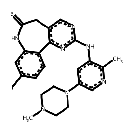 Cc1ncc(N2CCN(C)CC2)cc1Nc1ncc2c(n1)-c1ccc(I)cc1NC(=S)C2